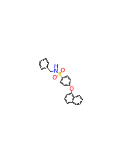 O=S(=O)(NCc1ccccc1)c1ccc(Oc2cccc3ccccc23)cc1